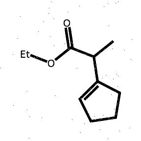 CCOC(=O)C(C)C1=CCCC1